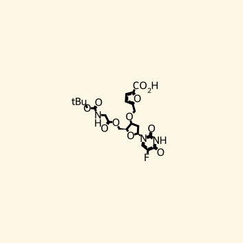 CC(C)(C)OC(=O)NCC(=O)OC[C@@H]1O[C@H](n2cc(F)c(=O)[nH]c2=O)CC1OCc1ccc(C(=O)O)o1